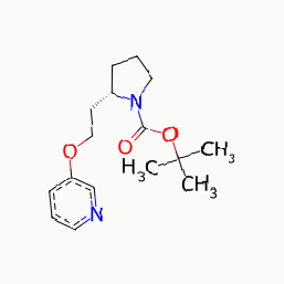 CC(C)(C)OC(=O)N1CCC[C@H]1CCOc1cccnc1